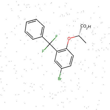 C[C@H](Oc1ccc(Br)cc1C(F)(F)c1ccccc1)C(=O)O